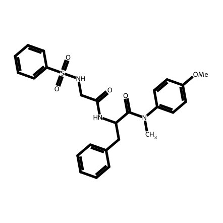 COc1ccc(N(C)C(=O)C(Cc2ccccc2)NC(=O)CNS(=O)(=O)c2ccccc2)cc1